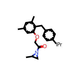 Cc1cc(C)c(Cc2ccc(C(C)C)cc2)c(OCC(=O)N2CC2C)c1